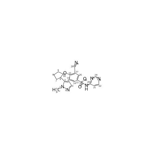 Cn1nccc1C1CCCC1Oc1ccc(S(=O)(=O)Nc2ccncn2)cc1C#N